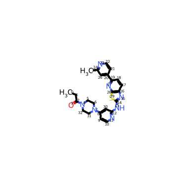 CCC(=O)N1CCN(c2ccnc(Nc3nc4ccc(-c5ccnc(C)c5)nc4s3)c2)CC1